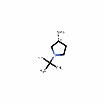 CCCC(C)(C)N1CC[C@@H](NC)C1